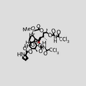 CO[C@H]1C[C@H]2C=C[C@H]3[C@H]4O[C@]2(/C(C)=C/[C@@H](C)[C@@H]([C@@H](C)OC(=O)NC(=O)C(Cl)(Cl)Cl)OC1=O)[C@@H]3[C@H](OC(=O)NC(=O)C(Cl)(Cl)Cl)[C@@H](C)[C@H]4OC(=O)c1ccc[nH]1